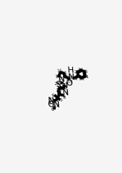 Cc1nc(C(C)(C)c2cnc3nc(N4CCCC4C(=O)NCc4ccccc4)sc3c2)no1